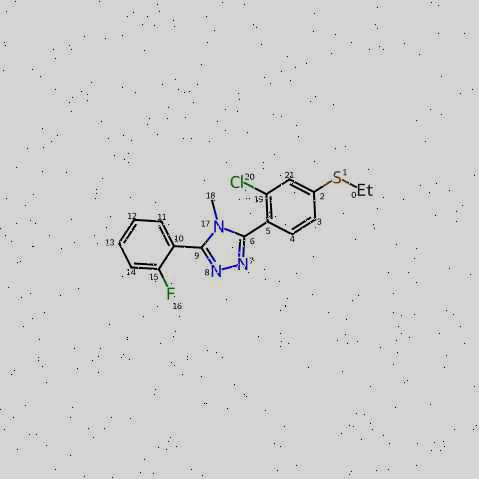 CCSc1ccc(-c2nnc(-c3ccccc3F)n2C)c(Cl)c1